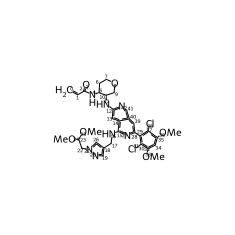 C=CC(=O)N[C@H]1CCOC[C@H]1Nc1cc2c(NCc3cnn(CC(OC)OC)c3)nc(-c3c(Cl)c(OC)cc(OC)c3Cl)cc2cn1